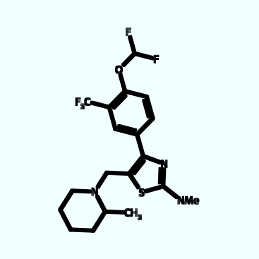 CNc1nc(-c2ccc(OC(F)F)c(C(F)(F)F)c2)c(CN2CCCCC2C)s1